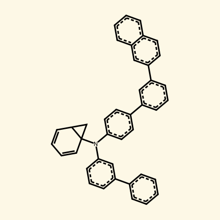 C1=CC2CC2(N(c2ccc(-c3cccc(-c4ccc5ccccc5c4)c3)cc2)c2cccc(-c3ccccc3)c2)C=C1